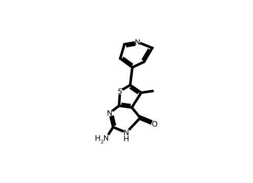 Cc1c(-c2ccncc2)sc2nc(N)[nH]c(=O)c12